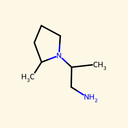 CC(CN)N1CCCC1C